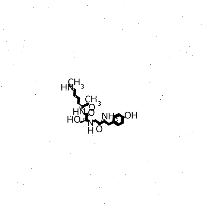 CNCCCC[C@H](NC(=O)[C@H](CO)NCC(=O)[C@@H](N)Cc1ccc(O)cc1)C(C)=O